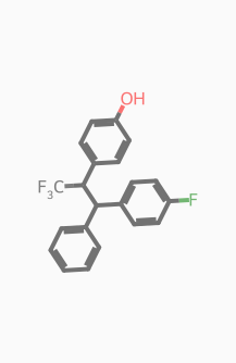 Oc1ccc(C(C(c2ccccc2)c2ccc(F)cc2)C(F)(F)F)cc1